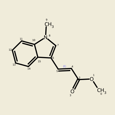 COC(=O)/C=C/c1cn(C)c2ccccc12